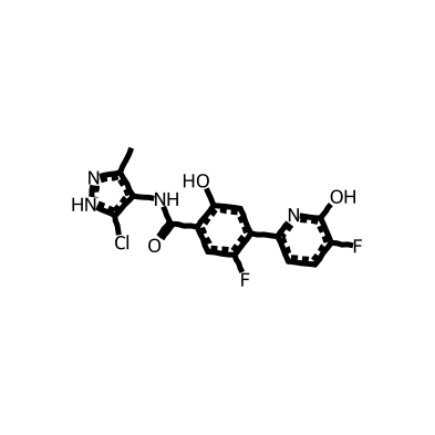 Cc1n[nH]c(Cl)c1NC(=O)c1cc(F)c(-c2ccc(F)c(O)n2)cc1O